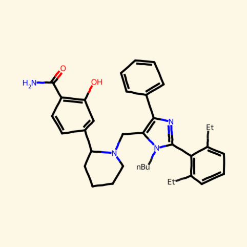 CCCCn1c(-c2c(CC)cccc2CC)nc(-c2ccccc2)c1CN1CCCCC1c1ccc(C(N)=O)c(O)c1